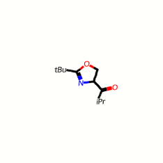 CC(C)C(=O)C1COC(C(C)(C)C)=N1